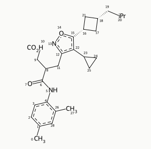 Cc1ccc(NC(=O)C(CC(=O)O)Cc2noc([C@H]3C[C@@H](CC(C)C)C3)c2C2CC2)c(C)c1